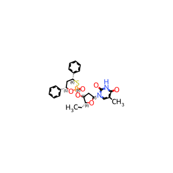 CC[C@H]1O[C@@H](n2cc(C)c(=O)[nH]c2=O)C[C@@H]1O[P@@]1(=O)O[C@H](c2ccccc2)C[C@H](c2ccccc2)S1